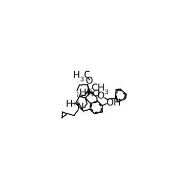 COC12CC[C@@]3(C[C@]1(C)COCc1ccccc1)[C@H]1Cc4ccc(O)c5c4C3(CCN1CC1CC1)[C@H]2O5